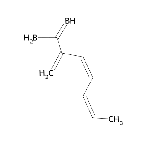 B=C(B)C(=C)/C=C\C=C/C